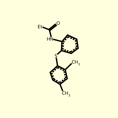 CCC(=O)Nc1ccccc1Sc1ccc(C)cc1C